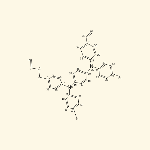 C=CCCc1ccc(N(c2ccc(C)cc2)c2ccc(N(c3ccc(C)cc3)c3ccc(C=C)cc3)cc2)cc1